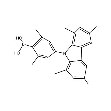 Cc1cc(C)c2c(c1)c1cc(C)cc(C)c1n2-c1cc(C)c(B(O)O)c(C)c1